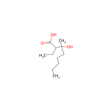 CCCCCC(C)(O)C(CC)C(=O)O